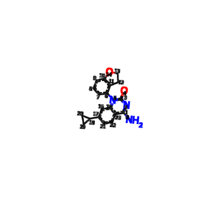 Nc1nc(=O)n(-c2cccc3c2CCO3)c2cc(C3CC3)ccc12